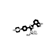 CC(C)(C)OC=O.CCOC(=O)c1nc(-c2cccc3[nH]ncc23)oc1-c1ccc(N2CCNCC2)cc1